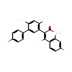 Cc1cc(C)c(-c2c(O)c3ccc(Cl)cc3[nH]c2=O)cc1-c1ccc(Cl)cc1